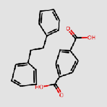 O=C(O)c1ccc(C(=O)O)cc1.c1ccc(CCc2ccccc2)cc1